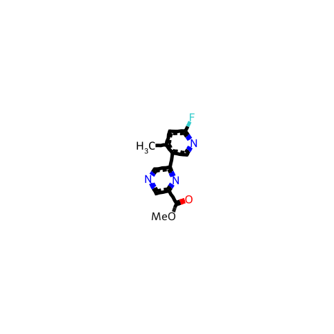 COC(=O)c1cncc(-c2cnc(F)cc2C)n1